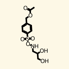 CC(=O)OCc1ccc(S(=O)(=O)ONCC(O)CO)cc1